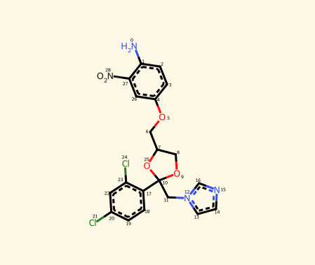 Nc1ccc(OCC2COC(Cn3ccnc3)(c3ccc(Cl)cc3Cl)O2)cc1[N+](=O)[O-]